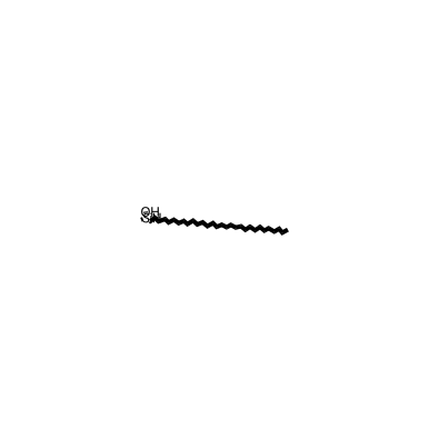 CCCCCCCCCCCCCCCCCCCCCCCCCCCCCC[SiH](C)O